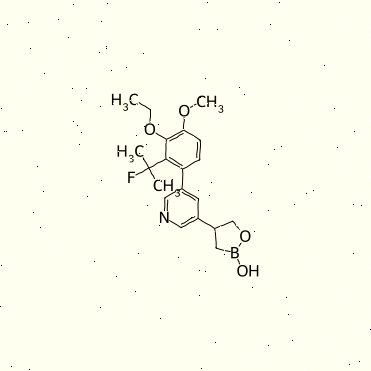 CCOc1c(OC)ccc(-c2cncc(C3COB(O)C3)c2)c1C(C)(C)F